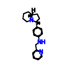 c1ccc(CNc2ccc([C@H]3CC[C@H]4CCCCN43)cc2)nc1